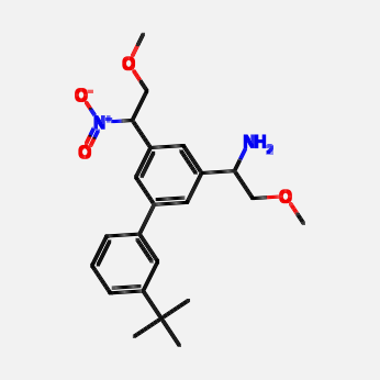 COCC(N)c1cc(-c2cccc(C(C)(C)C)c2)cc(C(COC)[N+](=O)[O-])c1